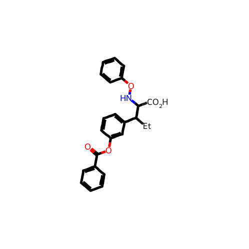 CCC(c1cccc(OC(=O)c2ccccc2)c1)C(NOc1ccccc1)C(=O)O